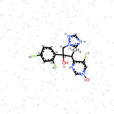 CC(c1nc[n+]([O-])cc1F)C(O)(Cn1cncn1)c1ccc(F)cc1F